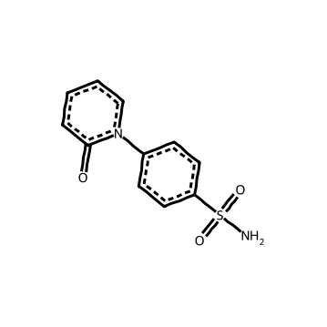 NS(=O)(=O)c1ccc(-n2ccccc2=O)cc1